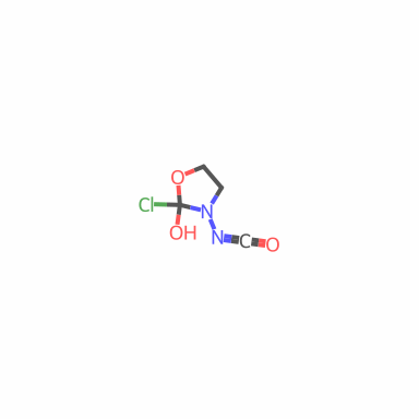 O=C=NN1CCOC1(O)Cl